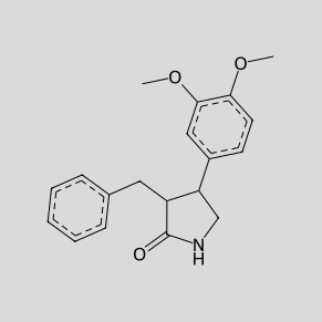 COc1ccc(C2CNC(=O)C2Cc2ccccc2)cc1OC